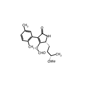 CO[C@@H](C)CC[C@H]1NC(=O)C(c2cc(C)ccc2C)=C1OC=O